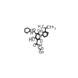 CC(C)c1cccc(-n2c(O)c(C(=O)NC3CCCCC3)c(O)c(C(=O)NCC(=O)O)c2=O)c1